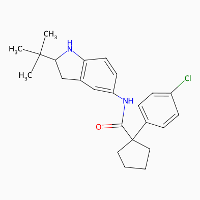 CC(C)(C)C1Cc2cc(NC(=O)C3(c4ccc(Cl)cc4)CCCC3)ccc2N1